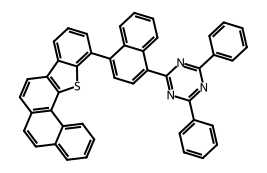 c1ccc(-c2nc(-c3ccccc3)nc(-c3ccc(-c4cccc5c4sc4c5ccc5ccc6ccccc6c54)c4ccccc34)n2)cc1